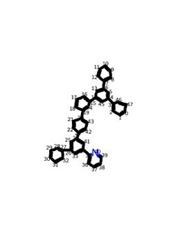 c1ccc(-c2cc(-c3ccccc3)cc(-c3cccc(-c4ccc(-c5cc(-c6ccccc6)cc(-c6ccccn6)c5)cc4)c3)c2)cc1